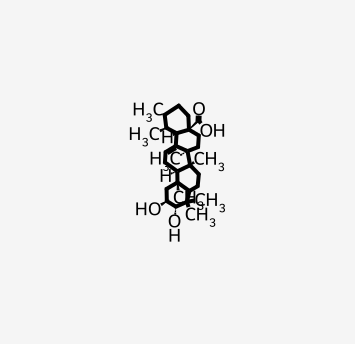 C[C@H]1[C@H](C)CC[C@]2(C(=O)O)CC[C@]3(C)C(=CC[C@@H]4[C@@]5(C)C[C@H](O)[C@@H](O)C(C)(C)C5CC[C@]43C)[C@H]12